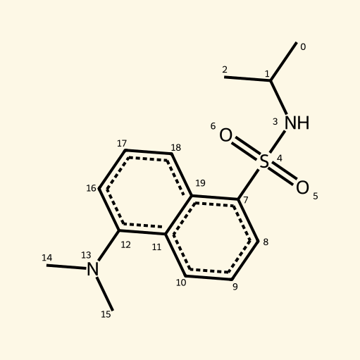 CC(C)NS(=O)(=O)c1cccc2c(N(C)C)cccc12